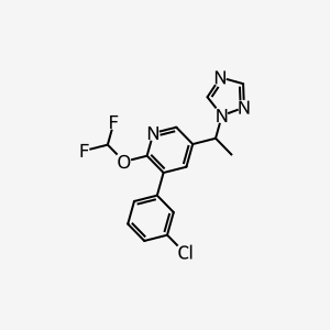 CC(c1cnc(OC(F)F)c(-c2cccc(Cl)c2)c1)n1cncn1